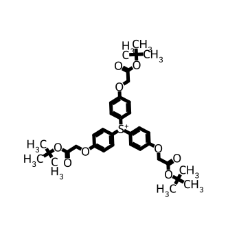 CC(C)(C)OC(=O)COc1ccc([S+](c2ccc(OCC(=O)OC(C)(C)C)cc2)c2ccc(OCC(=O)OC(C)(C)C)cc2)cc1